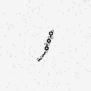 O=C(Oc1ccc(OC(=O)C2CCC3OC3C2)cc1)c1ccc(OCCCCOCC2CO2)cc1